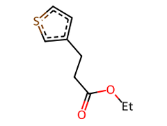 CCOC(=O)CCc1ccsc1